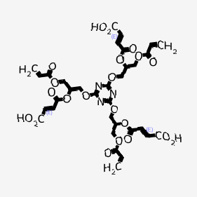 C=CC(=O)OCC(COc1nc(OCC(COC(=O)C=C)OC(=O)/C=C/C(=O)O)nc(OCC(COC(=O)C=C)OC(=O)/C=C/C(=O)O)n1)OC(=O)/C=C/C(=O)O